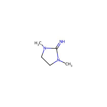 CN1CCN(C)C1=N